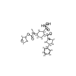 CN(C(=O)OC1CCOC1)C1CCC(C(=O)N2CCC(c3ccccc3)C2)C(C(=O)NO)C1